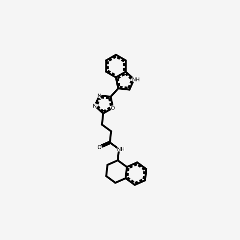 O=C(CCc1nnc(-c2c[nH]c3ccccc23)o1)NC1CCCc2ccccc21